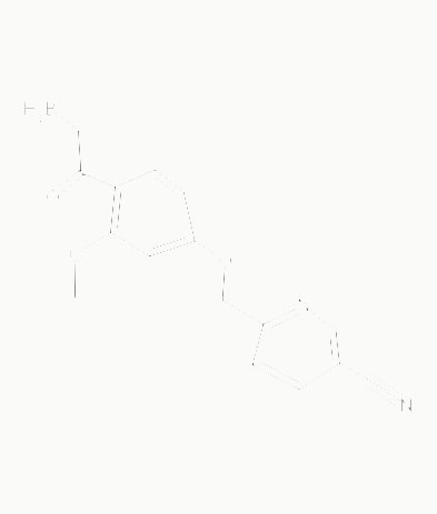 BCC(=O)c1ccc(OCc2ccc(C#N)cn2)cc1OC